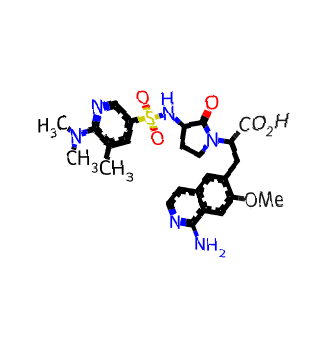 COc1cc2c(N)nccc2cc1CC(C(=O)O)N1CCC(NS(=O)(=O)c2cnc(N(C)C)c(C)c2)C1=O